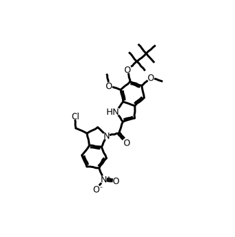 COc1cc2cc(C(=O)N3CC(CCl)c4ccc([N+](=O)[O-])cc43)[nH]c2c(OC)c1OC(C)(C)C(C)(C)C